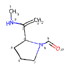 C=C(NC)C1CCCN1C=O